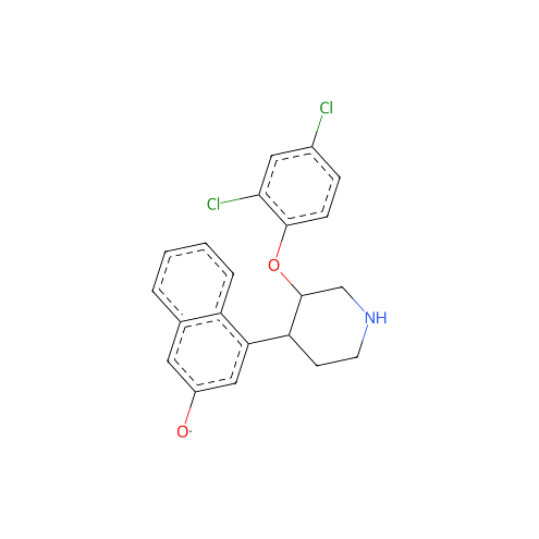 [O]c1cc(C2CCNCC2Oc2ccc(Cl)cc2Cl)c2ccccc2c1